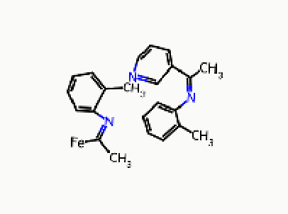 CC(=Nc1ccccc1C)c1cccnc1.C[C]([Fe])=Nc1ccccc1C